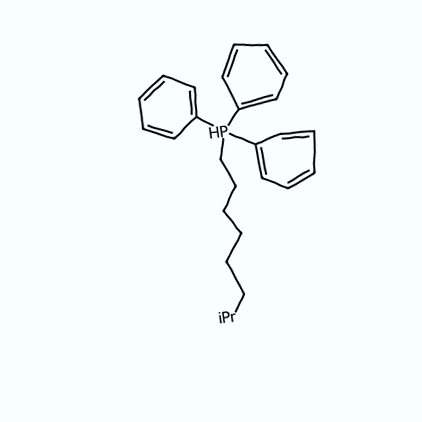 CC(C)CCCCCC[PH](c1ccccc1)(c1ccccc1)c1ccccc1